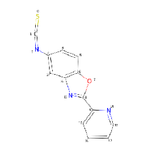 S=C=Nc1ccc2oc(-c3ccccn3)nc2c1